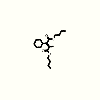 CCCCOC(=O)C(C)=C(C(=O)OCCCC)C1CCCCC1